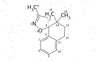 CC1=NO[C@]2(C1)c1ccccc1CCC2(C)C